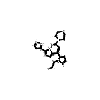 C[C@@H]1COCCN1c1cc(-c2ccnn2CCF)c2cnc(-c3ccn[nH]3)n2n1